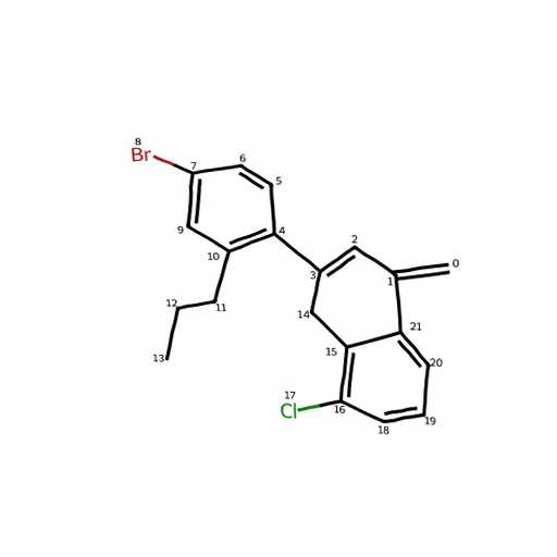 C=C1C=C(c2ccc(Br)cc2CCC)Cc2c(Cl)cccc21